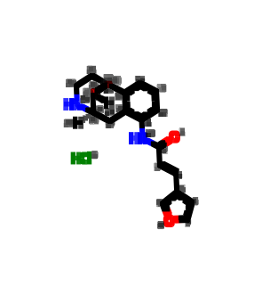 Cl.O=C(C=Cc1ccoc1)Nc1cccc2c1C[C@H]1NCC[C@@]23CCCC[C@@H]13